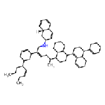 CC/C=C\C(CCC)C1CC=CC(/C(=C/CC(C)C2CCC(C3=C4C=CCCC4C(C4=CCCCC4)CC3)C3CCCCC23)CNC2C=CC3C=CC=C[C@H]3C2)C1